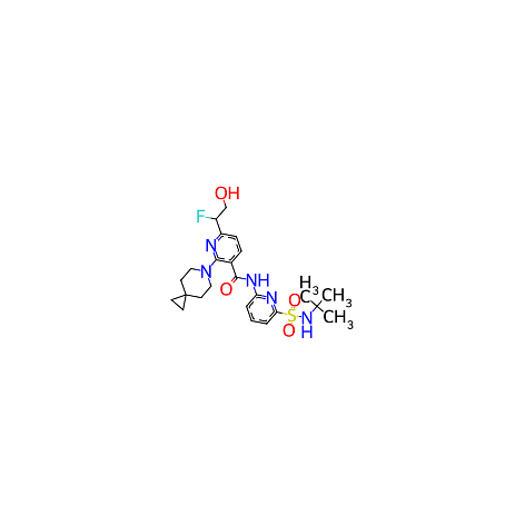 CC(C)(C)NS(=O)(=O)c1cccc(NC(=O)c2ccc(C(F)CO)nc2N2CCC3(CC2)CC3)n1